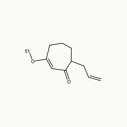 C=CCC1CCCC(OCC)=CC1=O